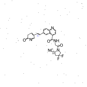 N#C[C@@H]1CC(F)(F)CN1C(=O)CNC(=O)c1ccnc2ccc(/C=C/C3=CCC(=O)N=C3)cc12